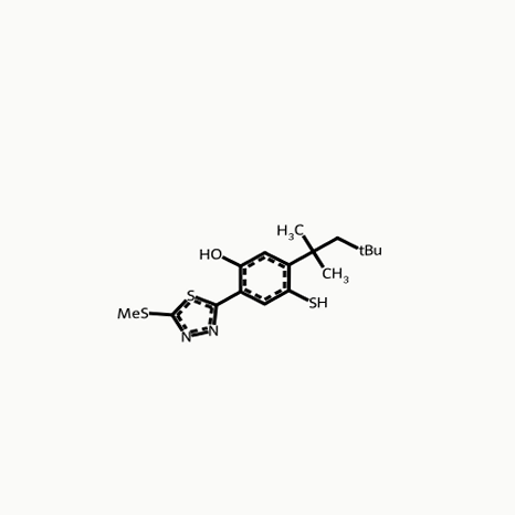 CSc1nnc(-c2cc(S)c(C(C)(C)CC(C)(C)C)cc2O)s1